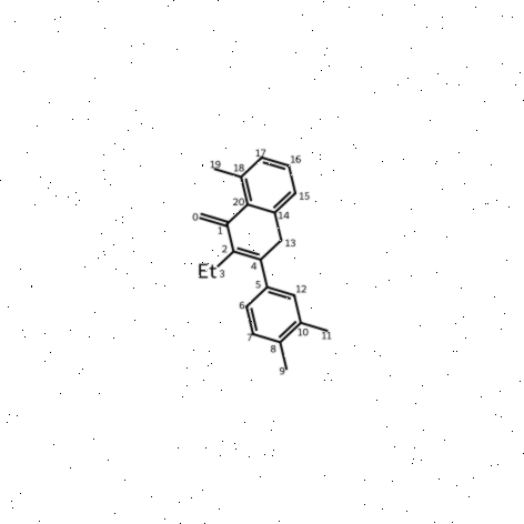 C=C1C(CC)=C(c2ccc(C)c(C)c2)Cc2cccc(C)c21